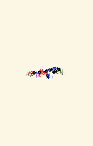 CC(C)c1ccccc1[C@@H]1CN(Cc2ccc(Cl)cc2)CCN1C1CC2(CCN(c3ccc(C(=O)NS(=O)(=O)c4ccc(NC[C@H]5CC[C@](C)(O)CC5)c([N+](=O)[O-])c4)c(Oc4cnc5[nH]ccc5c4)c3)CC2)C1